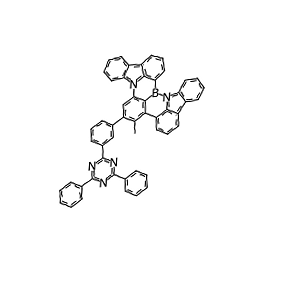 Cc1c(-c2cccc(-c3nc(-c4ccccc4)nc(-c4ccccc4)n3)c2)cc2c3c1-c1cccc4c5ccccc5n(c14)B3c1cccc3c4ccccc4n-2c13